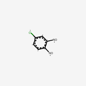 O=Nc1ccc(Cl)cc1N=O